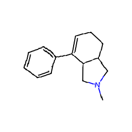 CN1CC2CCC=C(c3ccccc3)C2C1